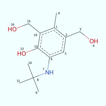 Cc1c(CO)cc(NC(C)(C)C)c(O)c1CO